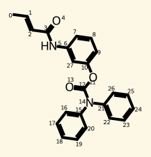 CC=CC(=O)Nc1cccc(OC(=O)N(c2ccccc2)c2ccccc2)c1